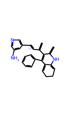 C=C(/C=C/c1cncc(N)c1)C1=C(c2ccccc2)C2=CCCC=C2NC1=C